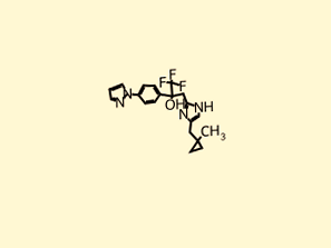 CC1(Cc2c[nH]c(CC(O)(c3ccc(-n4cccn4)cc3)C(F)(F)F)n2)CC1